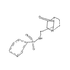 O=C1C2CCN(CC2)C1CNS(=O)(=O)c1cccnc1